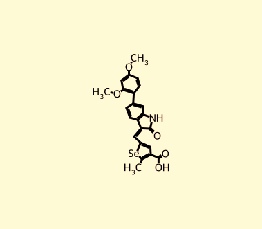 COc1ccc(-c2ccc3c(c2)NC(=O)/C3=C\c2cc(C(=O)O)c(C)[se]2)c(OC)c1